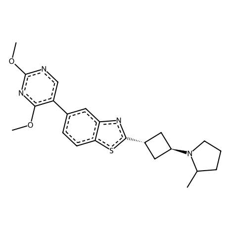 COc1ncc(-c2ccc3sc([C@H]4C[C@H](N5CCCC5C)C4)nc3c2)c(OC)n1